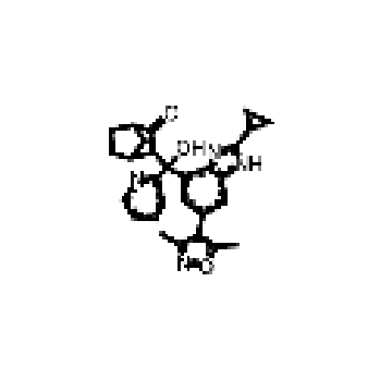 Cc1noc(C)c1-c1cc(C(O)(c2ccccn2)C2C(=O)C3CCC2C3)c2nc(C3CC3)[nH]c2c1